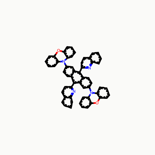 c1ccc2c(c1)Oc1ccccc1N2c1ccc2c(-c3ccc4ccccc4n3)c3cc(N4c5ccccc5Oc5ccccc54)ccc3c(-c3ccc4ccccc4n3)c2c1